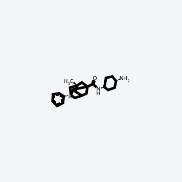 C[C@]12CC3CC(C(=O)N[C@H]4CC[C@@H](N)CC4)(C1)C[C@@](c1ccccc1)(C3)C2